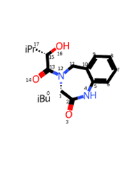 CC[C@H](C)[C@H]1C(=O)Nc2ccccc2CN1C(=O)[C@@H](O)C(C)C